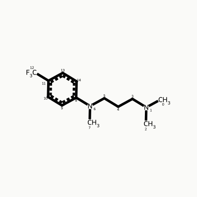 CN(C)CCCN(C)c1[c]cc(C(F)(F)F)cc1